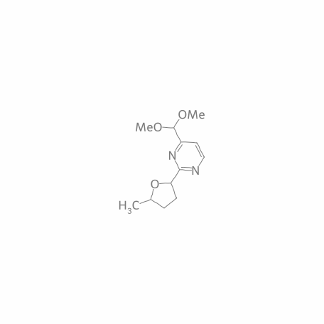 COC(OC)c1ccnc(C2CCC(C)O2)n1